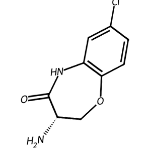 N[C@H]1COc2ccc(Cl)cc2NC1=O